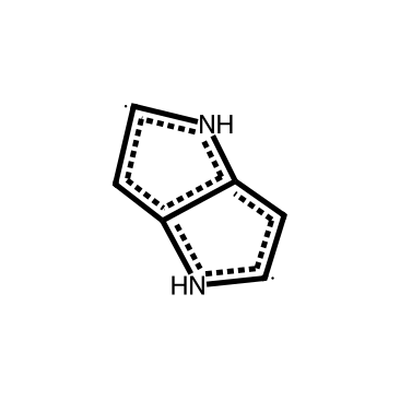 [c]1cc2[nH][c]cc2[nH]1